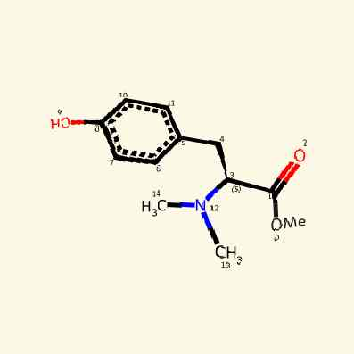 COC(=O)[C@H](Cc1ccc(O)cc1)N(C)C